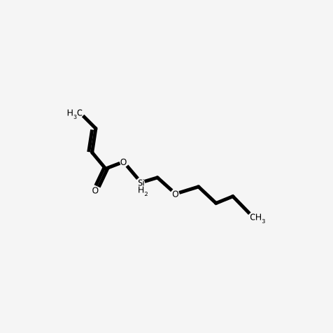 CC=CC(=O)O[SiH2]COCCCC